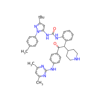 Cc1ccc(-n2nc(C(C)(C)C)cc2NC(=O)Nc2ccccc2C(C(=O)c2ccc(Nc3nc(C)cc(C)n3)cc2)C2CCNCC2)cc1